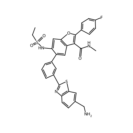 CCS(=O)(=O)Nc1cc2oc(-c3ccc(F)cc3)c(C(=O)NC)c2cc1-c1cccc(-c2nc3ccc(CN)cc3s2)c1